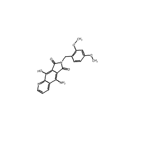 COc1ccc(CN2C(=O)c3c(c(O)c4ncccc4c3N)C2=O)c(OC)c1